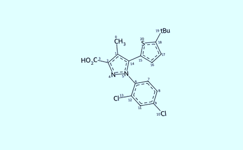 Cc1c(C(=O)O)nn(-c2ccc(Cl)cc2Cl)c1-c1ccc(C(C)(C)C)s1